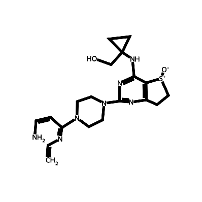 C=C/N=C(\C=C/N)N1CCN(c2nc3c(c(NC4(CO)CC4)n2)[S+]([O-])CC3)CC1